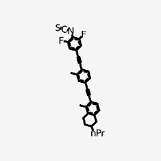 CCCC1CCc2c(ccc(C#Cc3ccc(C#Cc4cc(F)c(N=C=S)c(F)c4)c(C)c3)c2C)C1